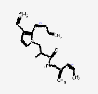 C=C/C=C\c1c(C=C)ccn1CC(I)C(=O)NC(=C)/C=C\C